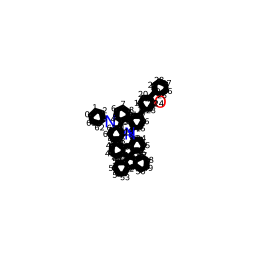 c1ccc(-n2c3ccccc3c3c(N(c4ccc(-c5ccc6c(c5)oc5ccccc56)cc4)c4cccc5c4-c4ccccc4C54c5ccccc5-c5ccccc54)cccc32)cc1